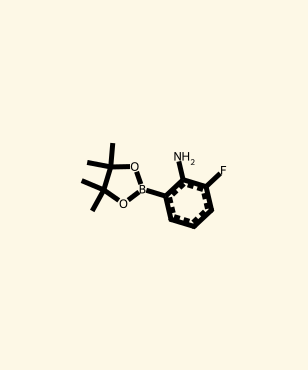 CC1(C)OB(c2cccc(F)c2N)OC1(C)C